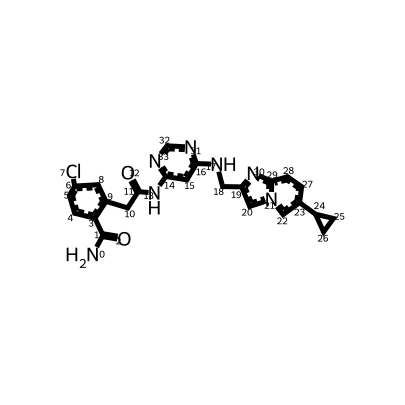 NC(=O)c1ccc(Cl)cc1CC(=O)Nc1cc(NCc2cn3cc(C4CC4)ccc3n2)ncn1